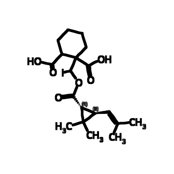 CC(C)=C[C@@H]1[C@@H](C(=O)OC(I)C2(C(=O)O)CCCCC2C(=O)O)C1(C)C